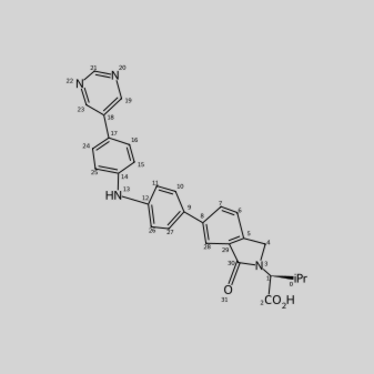 CC(C)[C@@H](C(=O)O)N1Cc2ccc(-c3ccc(Nc4ccc(-c5cncnc5)cc4)cc3)cc2C1=O